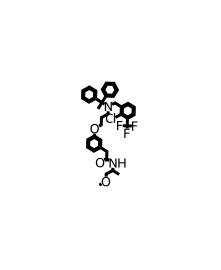 COCC(C)NC(=O)Cc1cccc(OCCCN(Cc2cccc(C(F)(F)F)c2Cl)C(C)(c2ccccc2)c2ccccc2)c1